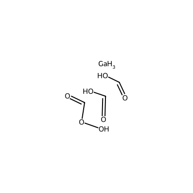 O=CO.O=CO.O=COO.[GaH3]